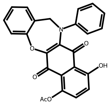 CC(=O)Oc1ccc(O)c2c1C(=O)C1=C(C2=O)N(c2ccccc2)Cc2ccccc2O1